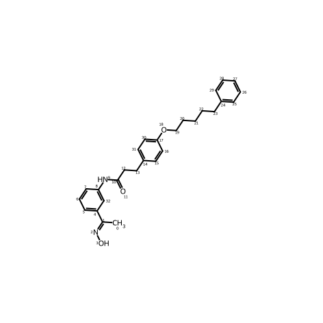 C/C(=N\O)c1cccc(NC(=O)CCc2ccc(OCCCCCc3ccccc3)cc2)c1